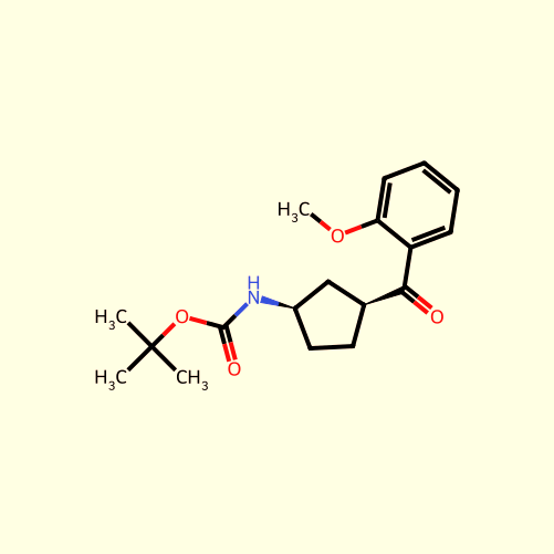 COc1ccccc1C(=O)[C@H]1CC[C@@H](NC(=O)OC(C)(C)C)C1